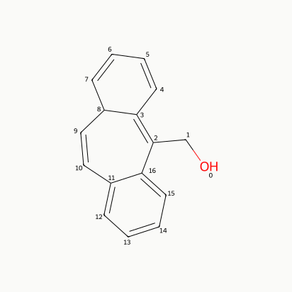 OCC1=C2C=CC=CC2C=Cc2ccccc21